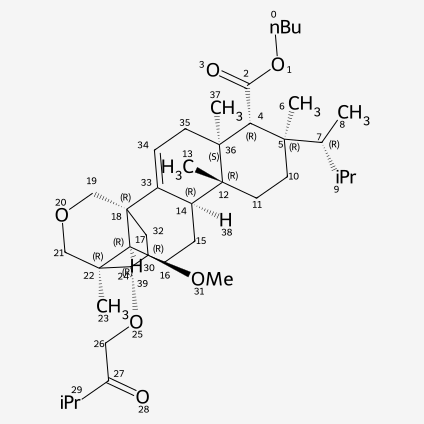 CCCCOC(=O)[C@@H]1[C@@](C)([C@H](C)C(C)C)CC[C@]2(C)[C@H]3CC[C@@H]4[C@@]5(COC[C@]4(C)[C@@H](OCC(=O)C(C)C)[C@H](OC)C5)C3=CC[C@@]12C